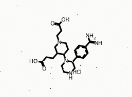 Cl.N=C(N)c1ccc(C2CNCCN2C2CCN(CCC(=O)O)CC2CCC(=O)O)cc1